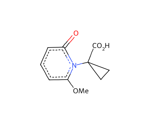 COc1cccc(=O)n1C1(C(=O)O)CC1